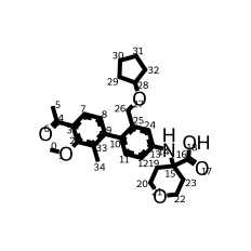 COc1c(C(C)=O)ccc(-c2ccc(NC3(C(=O)O)CCOCC3)cc2COC2CCCC2)c1C